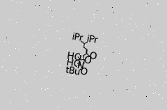 CC(C)CC(C/C=C1\CC(CO)(CN(O)C(=O)C(C)(C)C)OC1=O)CC(C)C